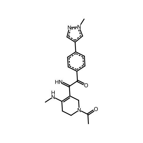 CNC1=C(C(=N)C(=O)c2ccc(-c3cnn(C)c3)cc2)CN(C(C)=O)CC1